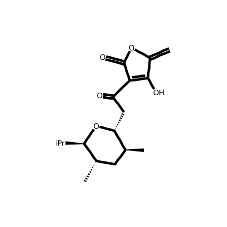 C=C1OC(=O)C(C(=O)C[C@H]2O[C@H](C(C)C)[C@@H](C)C[C@@H]2C)=C1O